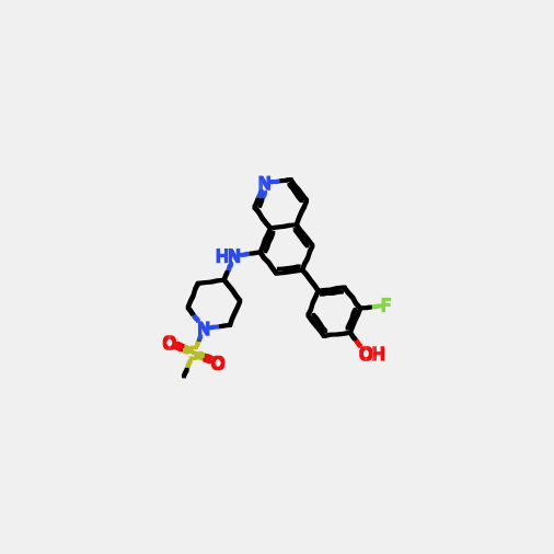 CS(=O)(=O)N1CCC(Nc2cc(-c3ccc(O)c(F)c3)cc3ccncc23)CC1